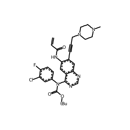 C=CC(=O)Nc1cc2c(N(C(=O)OC(C)(C)C)c3ccc(F)c(Cl)c3)ncnc2cc1C#CCN1CCN(C)CC1